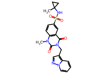 Cn1c(=O)n(Cc2cnn3ccccc23)c(=O)c2cc(S(=O)(=O)NC3(C)CC3)ccc21